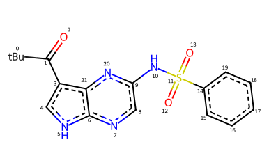 CC(C)(C)C(=O)c1c[nH]c2ncc(NS(=O)(=O)c3ccccc3)nc12